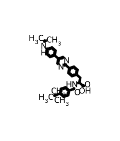 CC(C)Nc1ccc(-c2cnc(-c3ccc(CC(NC(=O)c4ccc(C(C)(C)C)cc4)C(=O)O)cc3)nc2)cc1